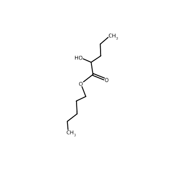 CCCCCOC(=O)C(O)CCC